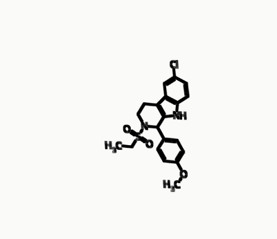 CCS(=O)(=O)N1CCc2c([nH]c3ccc(Cl)cc23)C1c1ccc(OC)cc1